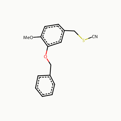 COc1ccc(CSC#N)cc1OCc1ccccc1